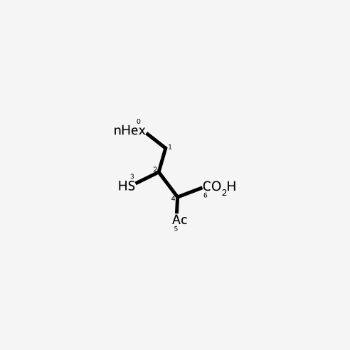 CCCCCCCC(S)C(C(C)=O)C(=O)O